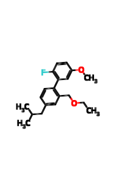 CCOCc1cc(CC(C)C)ccc1-c1cc(OC)ccc1F